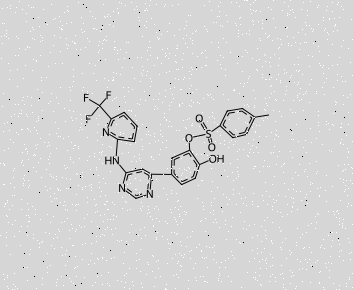 Cc1ccc(S(=O)(=O)Oc2cc(-c3cc(Nc4cccc(C(F)(F)F)n4)ncn3)ccc2O)cc1